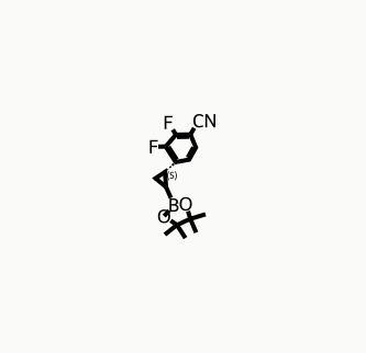 CC1(C)OB(C2C[C@@H]2c2ccc(C#N)c(F)c2F)OC1(C)C